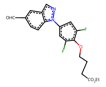 CCOC(=O)CCCOc1c(F)cc(-n2ncc3cc(C=O)ccc32)cc1F